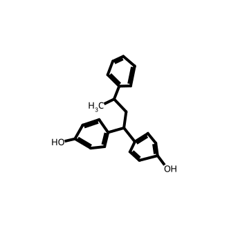 CC(CC(c1ccc(O)cc1)c1ccc(O)cc1)c1ccccc1